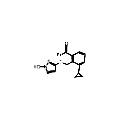 O=C(Br)c1cccc(C2CC2)c1COc1ccn(O)n1